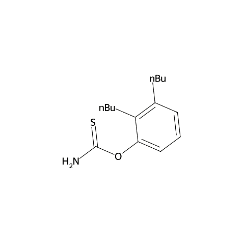 CCCCc1cccc(OC(N)=S)c1CCCC